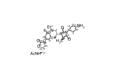 CCN(CCn1c(=O)n(-c2ccc(N)cc2)c(=O)n1C)c1c(F)cc(N2C[C@H](CNC(C)=O)OC2=O)cc1F